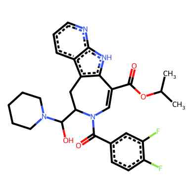 CC(C)OC(=O)C1=CN(C(=O)c2ccc(F)c(F)c2)C(C(O)N2CCCCC2)Cc2c1[nH]c1ncccc21